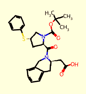 CC(C)(C)OC(=O)N1C[C@@H](Sc2ccccc2)C[C@@H]1C(=O)N1Cc2ccccc2C[C@@H]1CC(=O)O